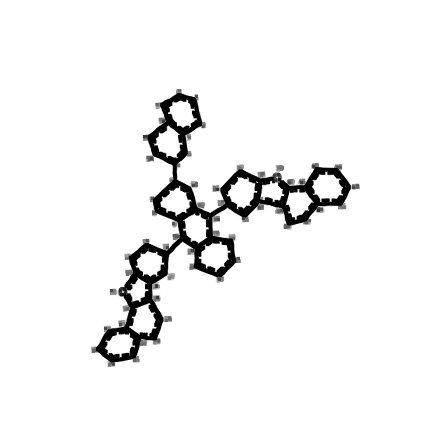 c1ccc2cc(-c3ccc4c(-c5ccc6oc7c8ccccc8ccc7c6c5)c5ccccc5c(-c5ccc6oc7c8ccccc8ccc7c6c5)c4c3)ccc2c1